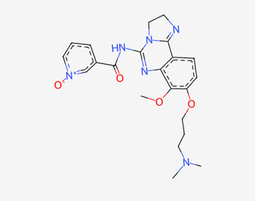 COc1c(OCCCN(C)C)ccc2c1N=C(NC(=O)c1ccc[n+]([O-])c1)N1CCN=C21